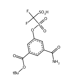 CC(C)(C)OC(=O)c1cc(OS(=O)(=O)C(F)(F)S(=O)(=O)O)cc(C(N)=O)c1